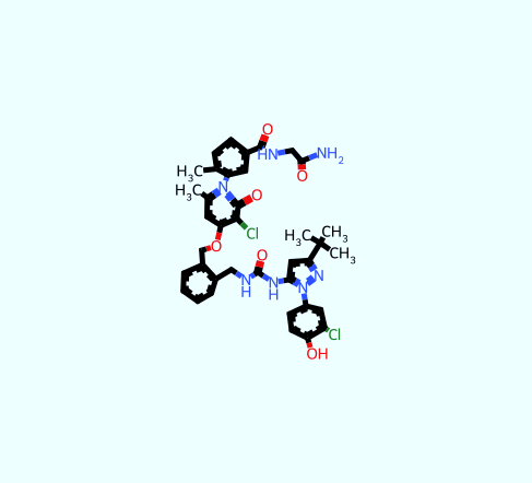 Cc1ccc(C(=O)NCC(N)=O)cc1-n1c(C)cc(OCc2ccccc2CNC(=O)Nc2cc(C(C)(C)C)nn2-c2ccc(O)c(Cl)c2)c(Cl)c1=O